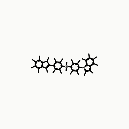 CC1=C(c2c(C)c(C)c([Si](C)(C)c3c(C)c(C)c(-n4c(C)c(C)c5c(C)c(C)c(C)c(C)c54)c(C)c3C)c(C)c2C)C(C)c2c(C)c(C)c(C)c(C)c21